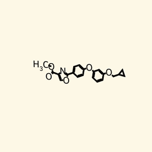 COC(=O)c1coc(-c2ccc(Oc3cccc(OCC4CC4)c3)cc2)n1